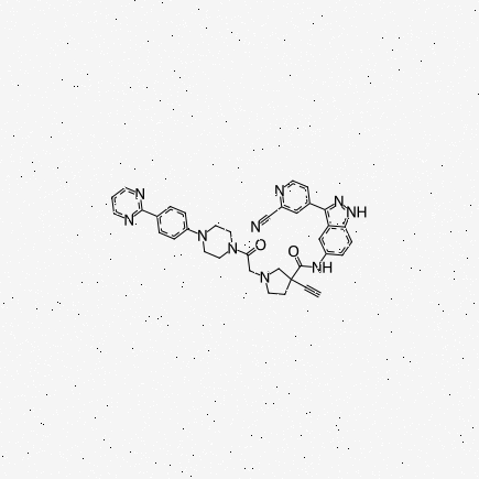 C#CC1(C(=O)Nc2ccc3[nH]nc(-c4ccnc(C#N)c4)c3c2)CCN(CC(=O)N2CCN(c3ccc(-c4ncccn4)cc3)CC2)C1